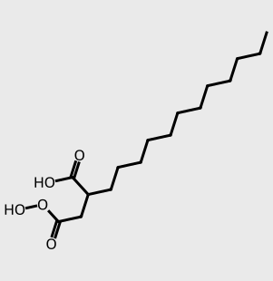 CCCCCCCCCCCCC(CC(=O)OO)C(=O)O